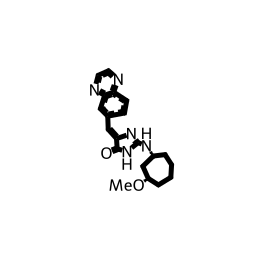 CO[C@@H]1CCCC[C@H](NC2=N/C(=C\c3ccc4nccnc4c3)C(=O)N2)C1